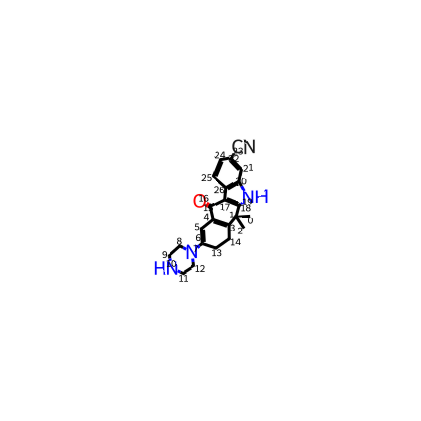 CC1(C)C2=C(C=C(N3CCNCC3)CC2)C(=O)c2c1[nH]c1cc(C#N)ccc21